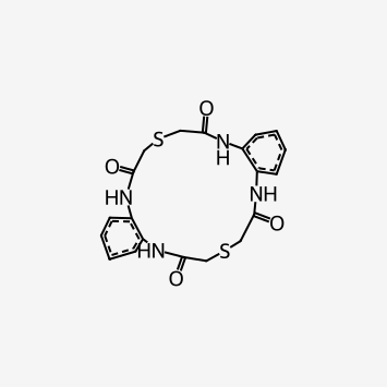 O=C1CSCC(=O)Nc2ccccc2NC(=O)CSCC(=O)Nc2ccccc2N1